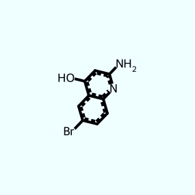 Nc1cc(O)c2cc(Br)ccc2n1